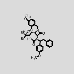 COc1ccc(C(Cc2ccccc2)N(C(=O)O)[C@@H]2C(=O)N(Cc3ccc(OC)cc3OC)[C@@H]2CC=C(Br)Br)cc1